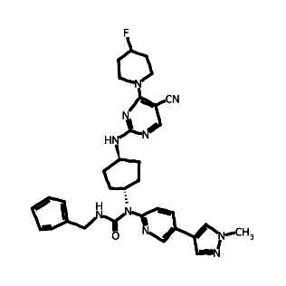 Cn1cc(-c2ccc(N(C(=O)NCc3ccccc3)[C@H]3CC[C@H](Nc4ncc(C#N)c(N5CCC(F)CC5)n4)CC3)nc2)cn1